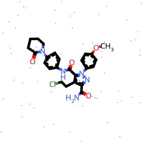 COc1ccc(-n2nc(C(N)=O)c(CCCl)c2C(=O)Nc2ccc(N3CCCCC3=O)cc2)cc1